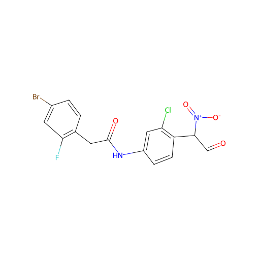 O=CC(c1ccc(NC(=O)Cc2ccc(Br)cc2F)cc1Cl)[N+](=O)[O-]